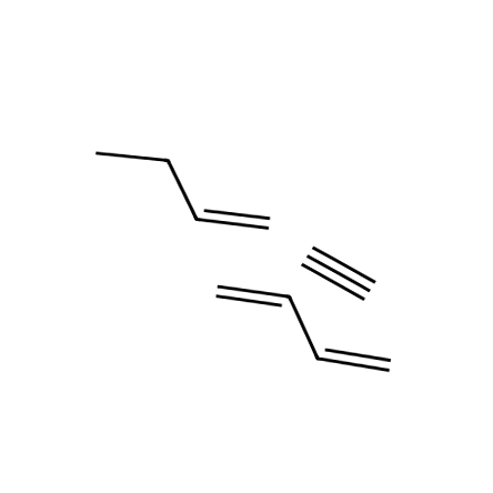 C#C.C=CC=C.C=CCC